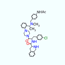 CC(=O)Nc1ccc(CN(C)C(C)c2ccccc2N2CCN(C(=O)C(Cc3ccc(Cl)cc3)NC(=O)C3Cc4ccccc4CN3)CC2)cc1